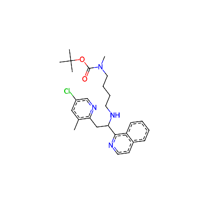 Cc1cc(Cl)cnc1CC(NCCCCN(C)C(=O)OC(C)(C)C)c1nccc2ccccc12